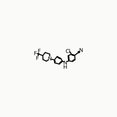 N#Cc1ccc(Nc2ccc(N3CCC(C(F)(F)F)CC3)cc2)cc1Cl